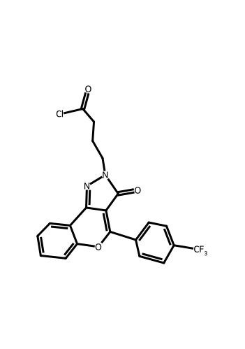 O=C(Cl)CCCn1nc2c3ccccc3oc(-c3ccc(C(F)(F)F)cc3)c-2c1=O